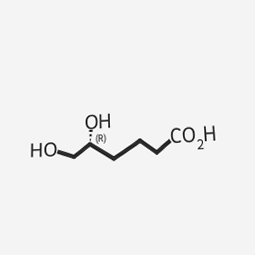 O=C(O)CCC[C@@H](O)CO